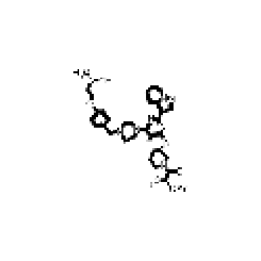 CC(=O)O[C@@H](C)C(=O)N1CCC[C@@H](Nc2nc(-c3cnn4ccccc34)nc(N3CCN(Cc4ccc(OCCN(C)C)cc4)CC3)c2F)C1